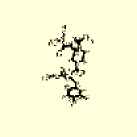 CN(C#N)C(=O)c1nc(C(F)(F)F)n2c1CN(C(=O)C[C@@H](Cc1cc(F)c(F)cc1F)NC(=O)OC(C)(C)C)CC2